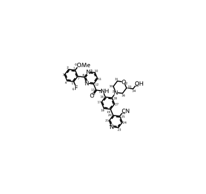 COc1cccc(F)c1-c1nccc(C(=O)Nc2ccc(-c3cnccc3C#N)cc2N2CCO[C@@H](CO)C2)n1